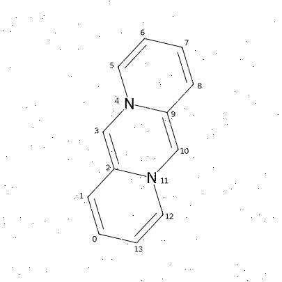 C1=CC2=CN3C=CC=CC3=CN2C=C1